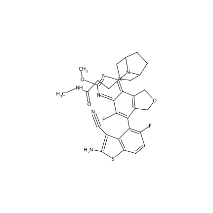 CNC(=O)CCN1CC2CCC(C1)N2c1nc(OC)nc2c(F)c(-c3c(F)ccc4sc(N)c(C#N)c34)c3c(c12)COC3